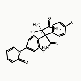 C[C@](O)(C(N)=O)C(C(N)=O)(c1ccc(Cl)cc1)c1ccc(-n2ccccc2=O)cc1F